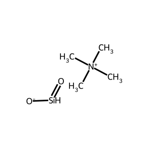 C[N+](C)(C)C.O=[SiH][O-]